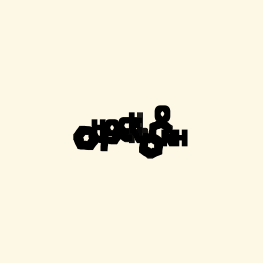 CC(C)(CC(O)(CNc1cccc2c1CC(=O)CN2)C(F)(F)F)c1ccccc1